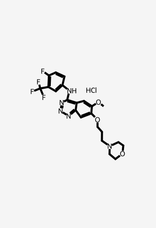 COc1cc2c(Nc3ccc(F)c(C(F)(F)F)c3)nnnc2cc1OCCCN1CCOCC1.Cl